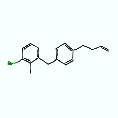 C=CCCc1ccc(Cc2cccc(Br)c2C)cc1